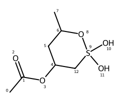 CC(=O)OC1CC(C)OS(O)(O)C1